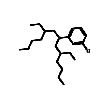 CCCCC(CC)CN(CC(CC)CCCC)c1cccc(Cl)c1